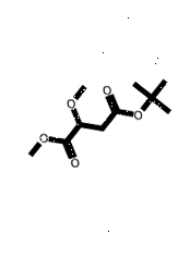 COC(=O)C(CC(=O)OC(C)(C)C)OC